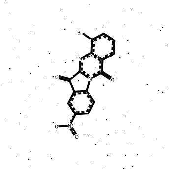 O=C1c2cc([N+](=O)[O-])ccc2-n2c1nc1c(Br)cccc1c2=O